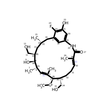 CO[C@H]1/C(C)=C/[C@H](C)[C@@H](O)[C@@H](CO)C[C@H](C)Cc2cc(cc(O)c2F)NC(=O)/C(C)=C/CC[C@@H]1CO